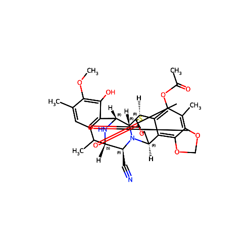 COc1c(C)cc2c(c1O)[C@H]1N[C@@H](C2C)[C@H](C#N)N2[C@H]1[C@@H]1SCC(=O)C(=O)OC[C@H]2c2c3c(c(C)c(OC(C)=O)c21)OCO3